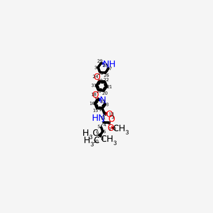 COC(=O)[C@H](CCC(C)(C)C)NC(=O)c1ccc(Oc2cccc(OC3CCNCC3)c2)nc1